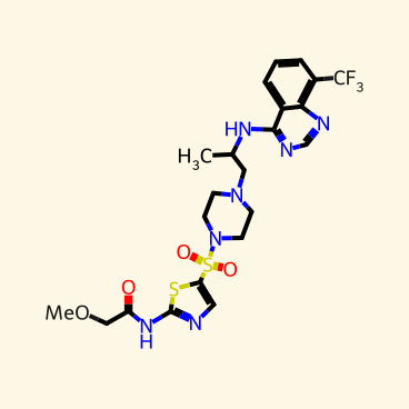 COCC(=O)Nc1ncc(S(=O)(=O)N2CCN(CC(C)Nc3ncnc4c(C(F)(F)F)cccc34)CC2)s1